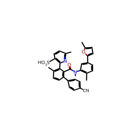 Cc1ccc(S(=O)(=O)O)c(-c2c(C)ccc(-c3ccc(C#N)cc3)c2C(=O)N(C)c2cc(-c3ccc(C)o3)ccc2C)n1